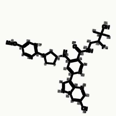 COc1cnc(N2CC[C@@H](Nc3cc(-c4cnn5cc(C#N)cnc45)ncc3C(=O)NCC(F)C(C)(C)O)C2)nc1